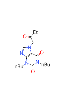 CCCCn1c(=O)c2c(ncn2CC(=O)CC)n(CCCC)c1=O